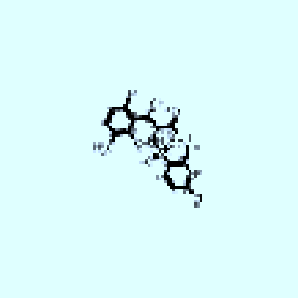 Cc1ccc(F)c([C@@H](C)[C@H](NS(=O)(=O)c2ccc(Cl)nc2F)C(=O)O)c1C